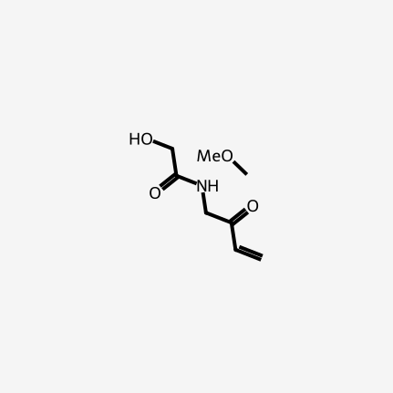 C=CC(=O)CNC(=O)CO.COC